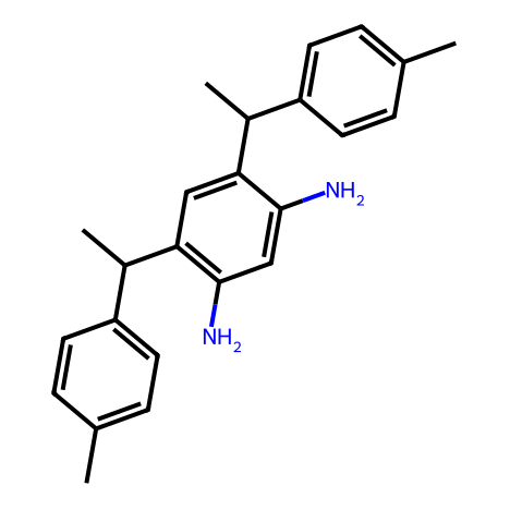 Cc1ccc(C(C)c2cc(C(C)c3ccc(C)cc3)c(N)cc2N)cc1